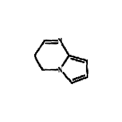 C1=Nc2cccn2CC1